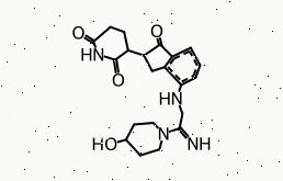 N=C(CNc1cccc2c1CC(C1CCC(=O)NC1=O)C2=O)N1CCC(O)CC1